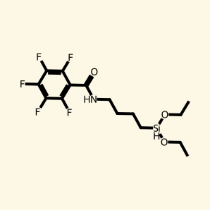 CCO[SiH](CCCCNC(=O)c1c(F)c(F)c(F)c(F)c1F)OCC